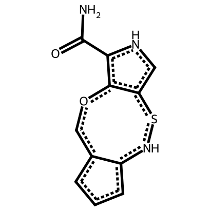 NC(=O)c1[nH]cc2s[nH]c3cccc-3coc12